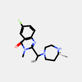 CCCC(c1nc2ccc(F)cc2c(=O)n1C)N1CCN[C@H](C)CC1